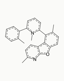 Cc1ccc2c(n1)oc1ccc(C)c(-c3cccc(-c4ccccc4C)[n+]3C)c12